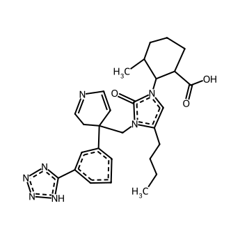 CCCCc1cn(C2C(C)CCCC2C(=O)O)c(=O)n1CC1(c2cccc(-c3nnn[nH]3)c2)C=CN=CC1